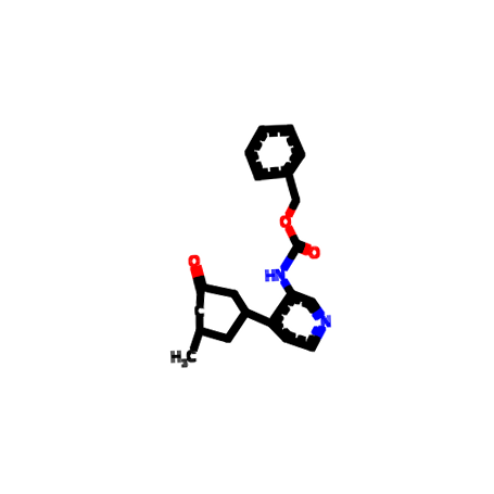 CC1CC(=O)CC(c2ccncc2NC(=O)OCc2ccccc2)C1